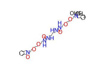 CN(CCOCCOCCNC(=O)NCCCCNC(=O)NCCOCCOCCN1Cc2ccccc2C1=O)Cc1ccccc1C=O